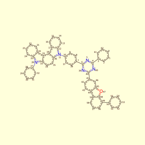 c1ccc(-c2nc(-c3ccc(-n4c5ccccc5c5c6c7ccccc7n(-c7ccccc7)c6ccc54)cc3)nc(-c3ccc4c(c3)oc3c(-c5ccccc5)cccc34)n2)cc1